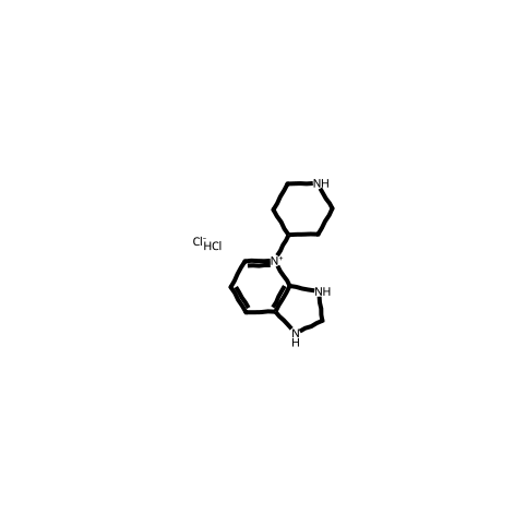 Cl.[Cl-].c1cc2c([n+](C3CCNCC3)c1)NCN2